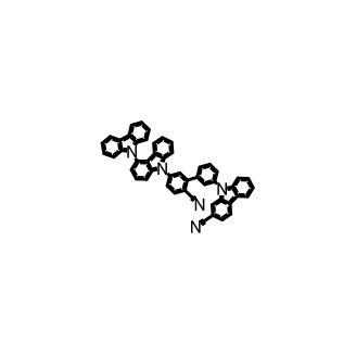 N#Cc1ccc2c3ccccc3n(-c3cccc(-c4cc(-n5c6ccccc6c6c(-n7c8ccccc8c8ccccc87)cccc65)ccc4C#N)c3)c2c1